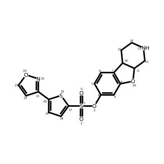 O=S(=O)(Oc1ccc2c(c1)OC1CNCCC21)c1ccc(-c2ccon2)s1